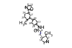 Cc1cnccc1/C=C/C(=O)Nc1ccc(-c2cc(-c3ncco3)ccc2C)cc1